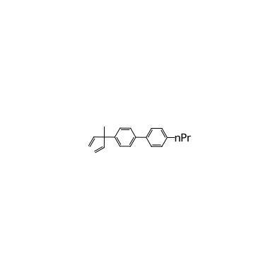 C=CC(C)(C=C)c1ccc(-c2ccc(CCC)cc2)cc1